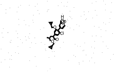 CC(C)CC(C(=O)OCC1CC1)c1cc(Cl)c(C2=CC3=CNON3C=C2)c(OCC2CC2)c1